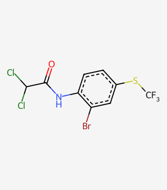 O=C(Nc1ccc(SC(F)(F)F)cc1Br)C(Cl)Cl